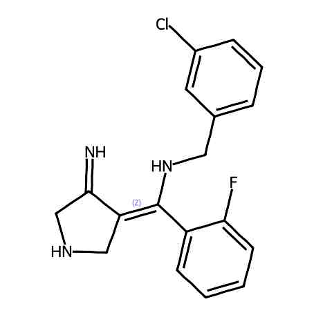 N=C1CNC/C1=C(/NCc1cccc(Cl)c1)c1ccccc1F